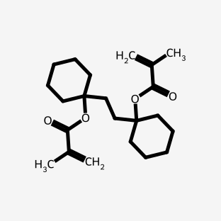 C=C(C)C(=O)OC1(CCC2(OC(=O)C(=C)C)CCCCC2)CCCCC1